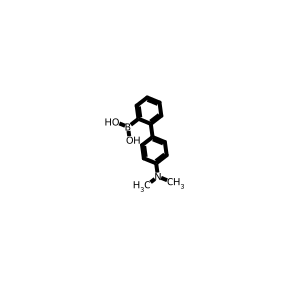 CN(C)c1ccc(-c2ccccc2B(O)O)cc1